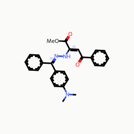 COC(=O)/C(=C/C(=O)c1ccccc1)N/N=C(/c1ccccc1)c1ccc(N(C)C)cc1